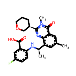 Cc1cc([C@@H](C)Nc2ccc(F)cc2C(=O)O)c2nc([C@@H]3CCCOC3)n(C)c(=O)c2c1